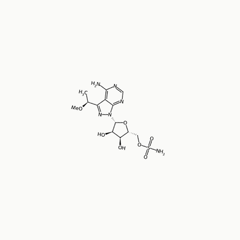 CO[C@@H](C)c1nn([C@@H]2O[C@H](COS(N)(=O)=O)[C@@H](O)[C@H]2O)c2ncnc(N)c12